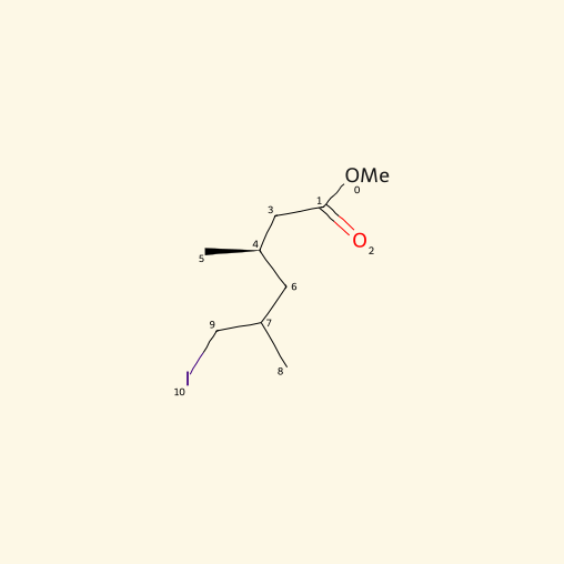 COC(=O)C[C@H](C)CC(C)CI